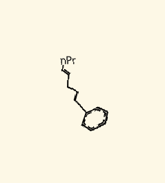 CCCC=CCCCc1ccccc1